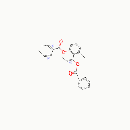 C/C=C\C(=C/C)C(=O)Oc1cccc(C)c1/C(=C\C)OC(=O)c1ccccc1